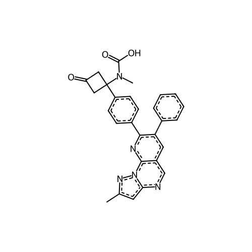 Cc1cc2ncc3cc(-c4ccccc4)c(-c4ccc(C5(N(C)C(=O)O)CC(=O)C5)cc4)nc3n2n1